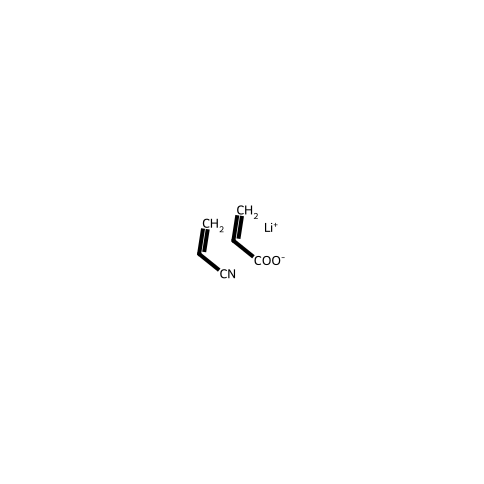 C=CC#N.C=CC(=O)[O-].[Li+]